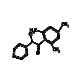 Cc1cc(C)c(C(=O)C(Cl)c2ccccc2)c(C)c1